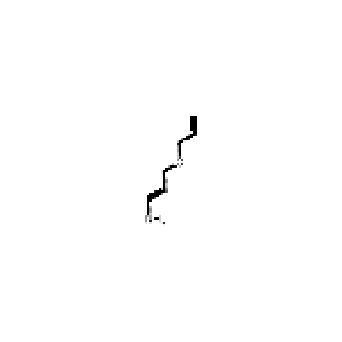 C=CCOCC=CN